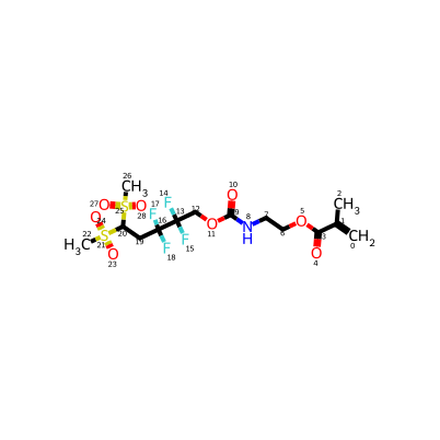 C=C(C)C(=O)OCCNC(=O)OCC(F)(F)C(F)(F)CC(S(C)(=O)=O)S(C)(=O)=O